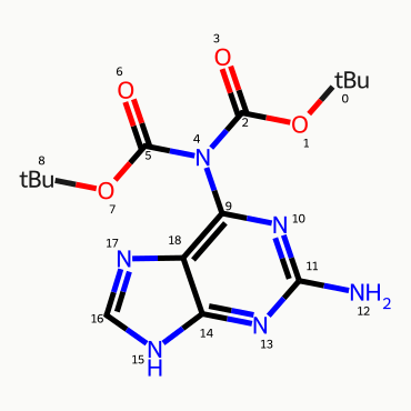 CC(C)(C)OC(=O)N(C(=O)OC(C)(C)C)c1nc(N)nc2[nH]cnc12